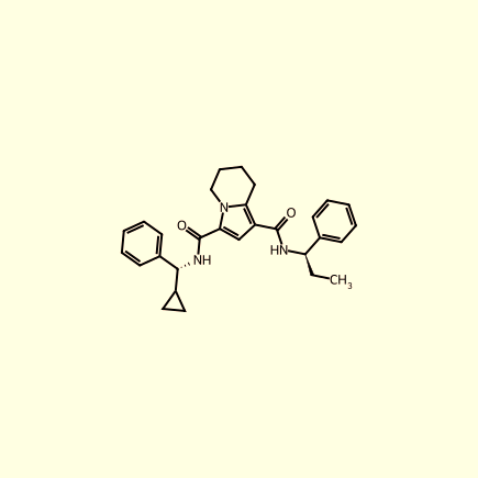 CC[C@@H](NC(=O)c1cc(C(=O)N[C@@H](c2ccccc2)C2CC2)n2c1CCCC2)c1ccccc1